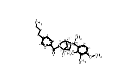 CCCCc1ccc(C(=O)N2C[C@@H]3C[C@H]2CN3[C@@H](C)c2ccc(OC)c(C)c2C)nc1